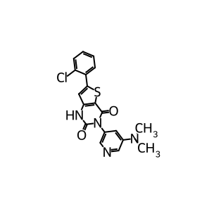 CN(C)c1cncc(-n2c(=O)[nH]c3cc(-c4ccccc4Cl)sc3c2=O)c1